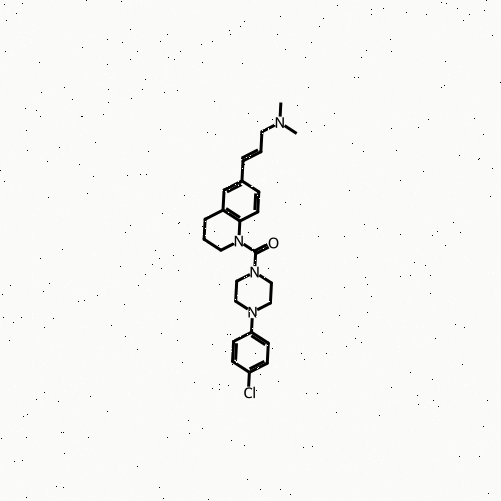 CN(C)C/C=C/c1ccc2c(c1)CCCN2C(=O)N1CCN(c2ccc(Cl)cc2)CC1